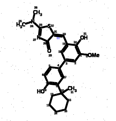 COc1cc(-c2ccc(O)c(C3(C)CCCCC3)c2)cc(/C=C2/SC(N(C)C)=NC2=O)c1O